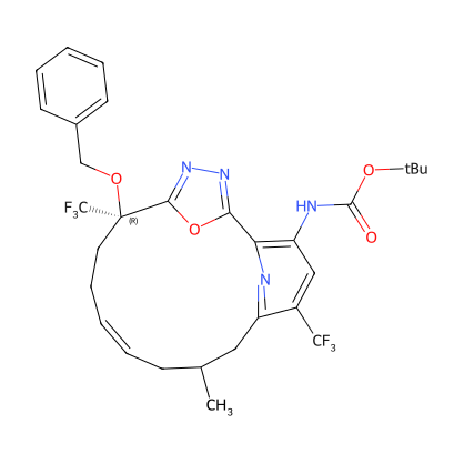 CC1CC=CCC[C@](OCc2ccccc2)(C(F)(F)F)c2nnc(o2)-c2nc(c(C(F)(F)F)cc2NC(=O)OC(C)(C)C)C1